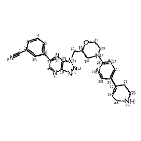 N#Cc1cccc(-c2cnc3nnn(C[C@@H]4CN(c5ncc(C6=CCNCC6)cn5)CCO4)c3n2)c1